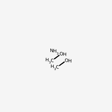 CO.CO.N